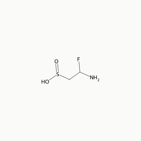 NC(F)CS(=O)O